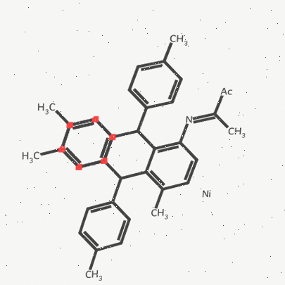 CC(=O)C(C)=Nc1ccc(C)c(C(c2ccc(C)cc2)c2ccc(C)cc2)c1C(c1ccc(C)cc1)c1ccc(C)cc1.[Ni]